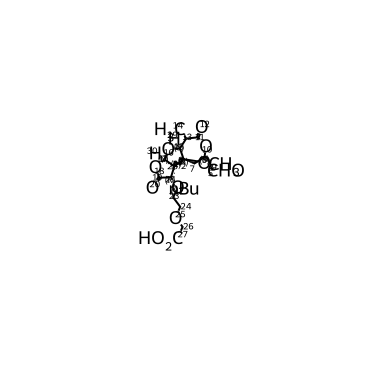 CCCC[C@@H]1CC(OC=O)[C@]23C[C@H](C)OC(=O)C(C)[C@@H]2O[C@@H]2OC(=O)[C@H](OCCOCC(=O)O)C123